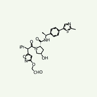 Cc1ncc(-c2ccc([C@H](C)NC(=O)[C@@H]3C[C@@H](O)CN3C(=O)C(c3cc(OCC=O)no3)C(C)C)cc2)s1